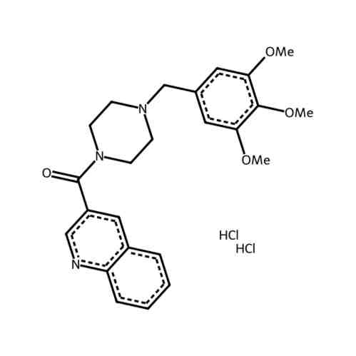 COc1cc(CN2CCN(C(=O)c3cnc4ccccc4c3)CC2)cc(OC)c1OC.Cl.Cl